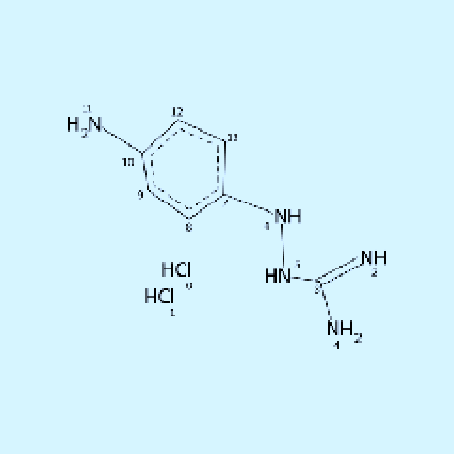 Cl.Cl.N=C(N)NNc1ccc(N)cc1